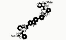 COC(=O)N[C@H](C(=O)N1[C@@H]2CC[C@@H](C2)[C@H]1c1nc2ccc(-c3ccc4c(c3)C(F)(F)c3cc(-c5cnc(C6CCCCN6C(=O)[C@H](NC(=O)OC)c6ccccc6)[nH]5)ccc3-4)cc2[nH]1)C1CCOCC1